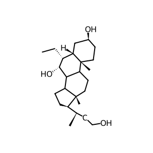 CC[C@H]1[C@@H](O)C2C3CC[C@H]([C@H](C)CCO)[C@@]3(C)CCC2[C@@]2(C)CC[C@H](O)C[C@@H]12